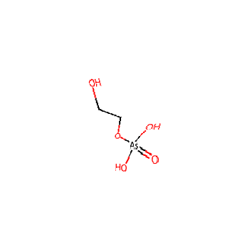 O=[As](O)(O)OCCO